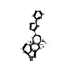 CN1C[C@H](c2ccn(-c3ccccc3)n2)C[C@@H]2c3cccc4[nH]cc(c34)C[C@H]21